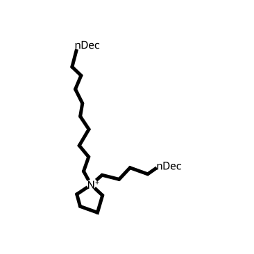 CCCCCCCCCCCCCCCCCCC[N+]1(CCCCCCCCCCCCCC)CCCC1